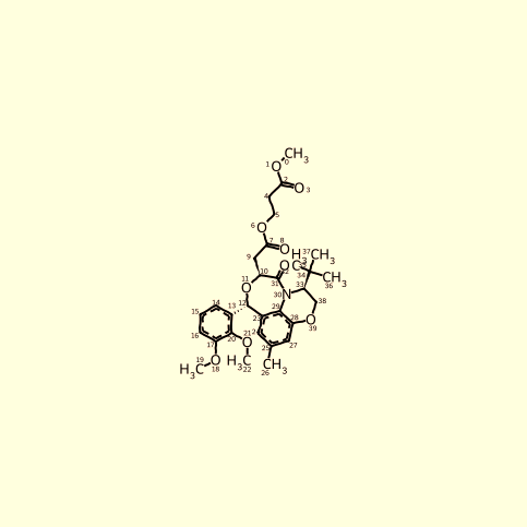 COC(=O)CCOC(=O)C[C@@H]1O[C@@H](c2cccc(OC)c2OC)c2cc(C)cc3c2N(C1=O)[C@@H](C(C)(C)C)CO3